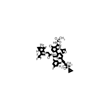 CC(C)(C#Cc1ccc(-c2ccc(Cl)c3c(NS(C)(=O)=O)nn(C4COC4)c23)c([C@H](Cc2cc(F)cc(F)c2)NC(=O)Cn2nc(C(F)(F)F)c3c2C(F)(F)[C@@H]2C[C@H]32)n1)S(=O)(=O)C1CC1